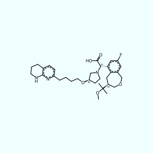 COC(C)(C)[C@@H]1COCc2cc(F)cc([C@@H](C(=O)O)N3CC[C@@H](OCCCCc4ccc5c(n4)NCCC5)C3)c2C1